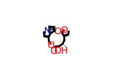 C/C=C1/C[C@H](C)[C@@](C)(O)C(=O)OCC2=CCN3CC[C@@H](OC1=O)[C@@H]23